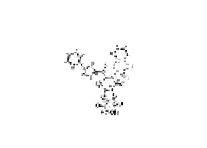 CC(C(CCc1ccccc1)c1csc(-c2ccccc2)c1)N(CC(=O)O)C(=O)C1COC(C(=O)O)(C(=O)O)O1